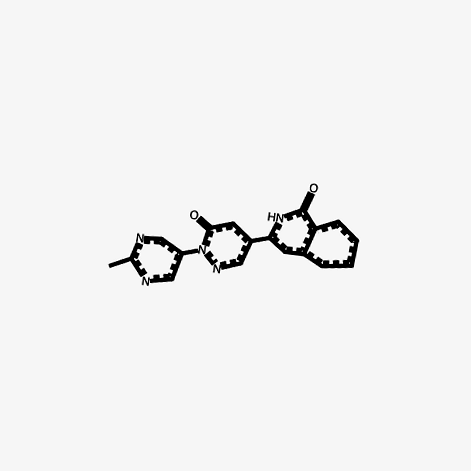 Cc1ncc(-n2ncc(-c3cc4ccccc4c(=O)[nH]3)cc2=O)cn1